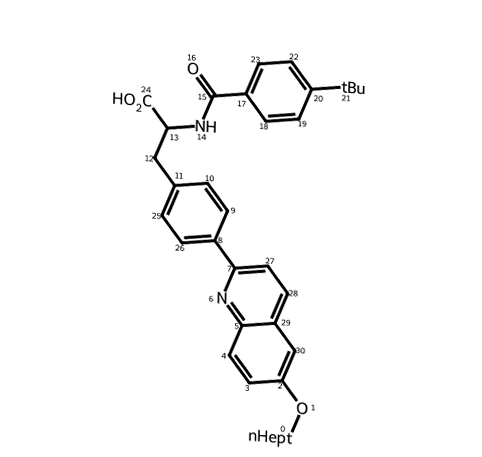 CCCCCCCOc1ccc2nc(-c3ccc(CC(NC(=O)c4ccc(C(C)(C)C)cc4)C(=O)O)cc3)ccc2c1